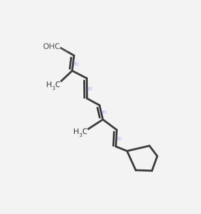 CC(/C=C/C=C(C)/C=C/C1CCCC1)=C\C=O